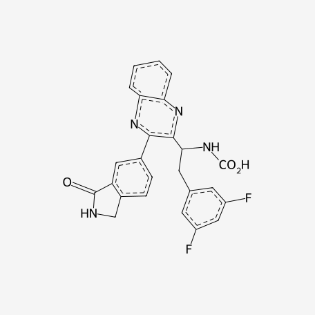 O=C(O)NC(Cc1cc(F)cc(F)c1)c1nc2ccccc2nc1-c1ccc2c(c1)C(=O)NC2